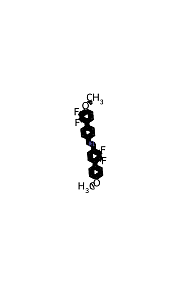 CCOc1ccc(-c2ccc(/C=C/c3ccc(-c4ccc(OC)cc4)c(F)c3F)cc2)c(F)c1F